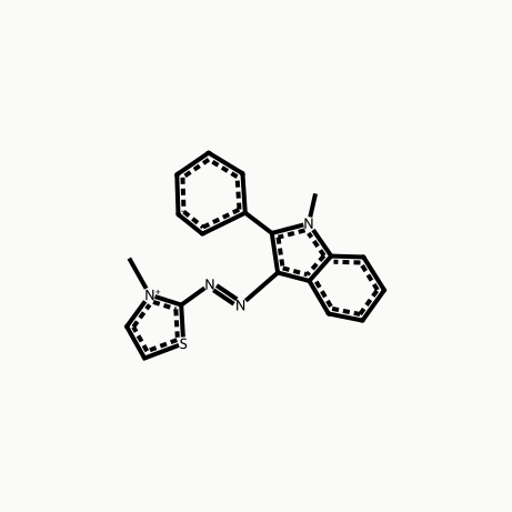 Cn1c(-c2ccccc2)c(/N=N/c2scc[n+]2C)c2ccccc21